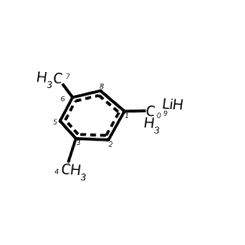 Cc1cc(C)cc(C)c1.[LiH]